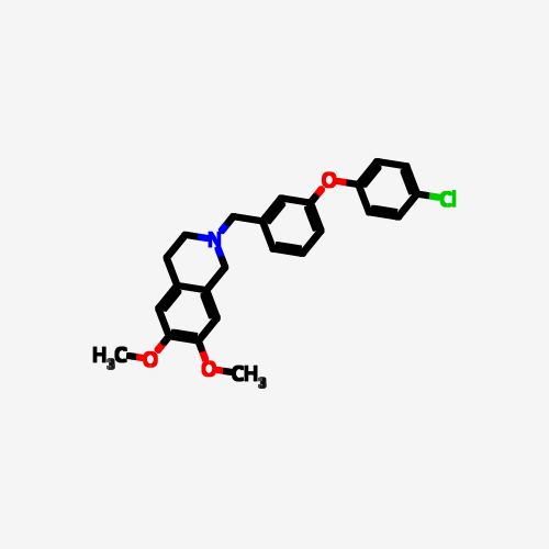 COc1cc2c(cc1OC)CN(Cc1cccc(Oc3ccc(Cl)cc3)c1)CC2